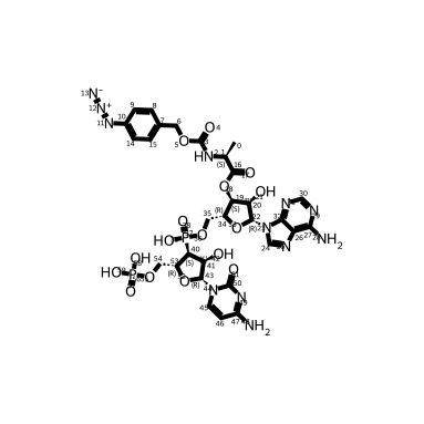 C[C@H](NC(=O)OCc1ccc(N=[N+]=[N-])cc1)C(=O)O[C@H]1[C@@H](O)[C@H](n2cnc3c(N)ncnc32)O[C@@H]1COP(=O)(O)[C@H]1[C@@H](O)[C@H](n2ccc(N)nc2=O)O[C@@H]1COP(=O)(O)O